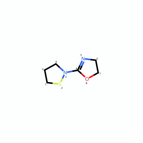 C1CSN(C2=NCCO2)C1